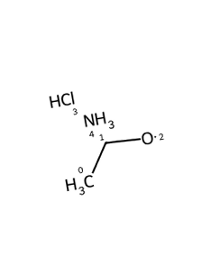 CC[O].Cl.N